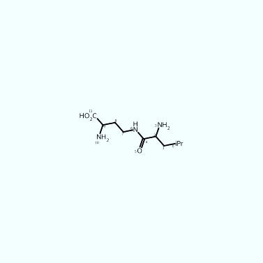 CC(C)CC(N)C(=O)NCCC(N)C(=O)O